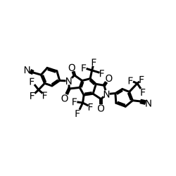 N#Cc1ccc(-n2c(=O)c3c(C(F)(F)F)c4c(=O)n(-c5ccc(C#N)c(C(F)(F)F)c5)c(=O)c4c(C(F)(F)F)c3c2=O)cc1C(F)(F)F